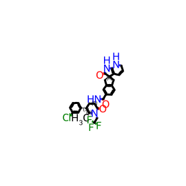 C[C@@H]1[C@H](c2cccc(Cl)c2)C[C@H](NC(=O)c2ccc3c(c2)C[C@@]2(C3)C(=O)NC3=C2C=CCN3)C(=O)N1CC(F)(F)F